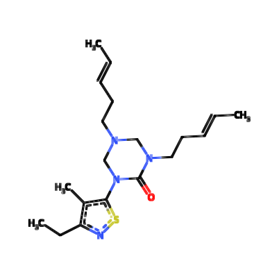 CC=CCCN1CN(CCC=CC)C(=O)N(c2snc(CC)c2C)C1